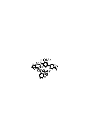 COc1cc(N2CCC(N(C)C)CC2)ccc1Nc1nc(OCc2ccccc2S(=O)(=O)C(C)C)c2sccc2n1